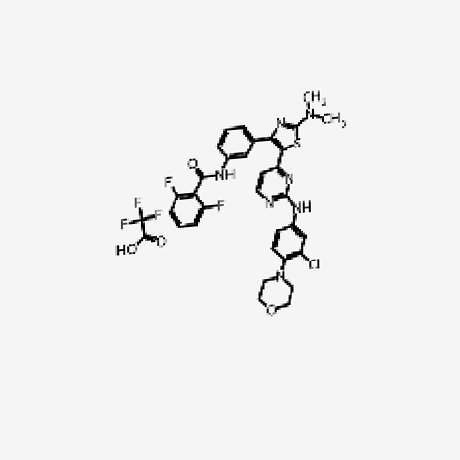 CN(C)c1nc(-c2cccc(NC(=O)c3c(F)cccc3F)c2)c(-c2ccnc(Nc3ccc(N4CCOCC4)c(Cl)c3)n2)s1.O=C(O)C(F)(F)F